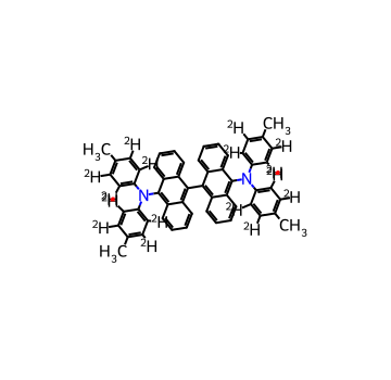 [2H]c1c([2H])c(N(c2c([2H])c([2H])c(C)c([2H])c2[2H])c2c3ccccc3c(-c3c4ccccc4c(N(c4c([2H])c([2H])c(C)c([2H])c4[2H])c4c([2H])c([2H])c(C)c([2H])c4[2H])c4ccccc34)c3ccccc23)c([2H])c([2H])c1C